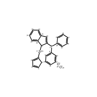 C1=CC[C]([Zr+2][CH]2C(P(c3ccccc3)c3ccccc3)=Cc3ccccc32)=C1.[Cl-].[Cl-]